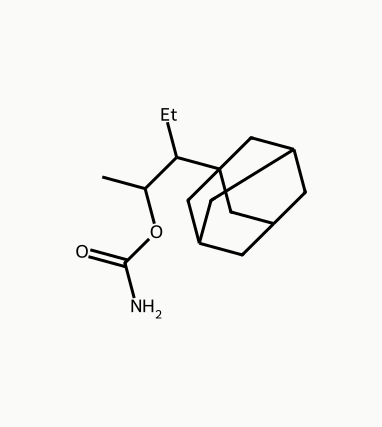 CCC(C(C)OC(N)=O)C12CC3CC(CC(C3)C1)C2